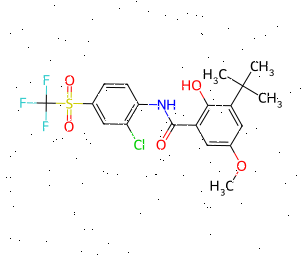 COc1cc(C(=O)Nc2ccc(S(=O)(=O)C(F)(F)F)cc2Cl)c(O)c(C(C)(C)C)c1